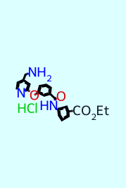 CCOC(=O)c1cccc(NC(=O)c2cccc(Oc3cc(CN)ccn3)c2)c1.Cl